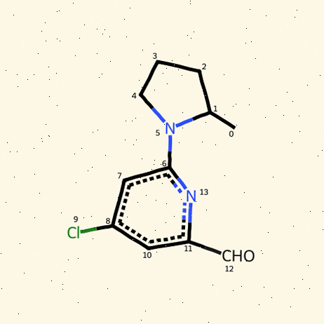 CC1CCCN1c1cc(Cl)cc(C=O)n1